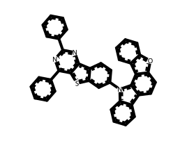 c1ccc(-c2nc(-c3ccccc3)c3sc4cc(-n5c6ccccc6c6ccc7oc8ccccc8c7c65)ccc4c3n2)cc1